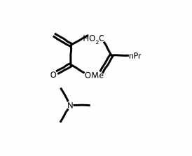 C=C(C)C(=O)OC.C=C(CCC)C(=O)O.CN(C)C